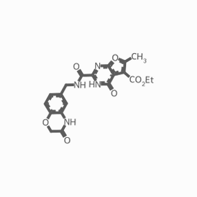 CCOC(=O)c1c(C)oc2nc(C(=O)NCc3ccc4c(c3)NC(=O)CO4)[nH]c(=O)c12